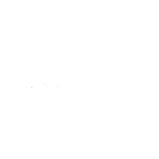 CCCCC1CCC(C2CCC(CCC=CC=C(F)C#N)CC2)CC1